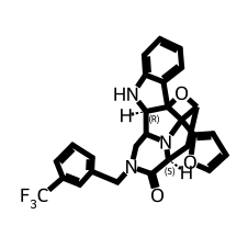 O=C1[C@@H]2CC3OC45c6ccccc6N[C@@H]4C(CN1Cc1cccc(C(F)(F)F)c1)N2C35c1ccco1